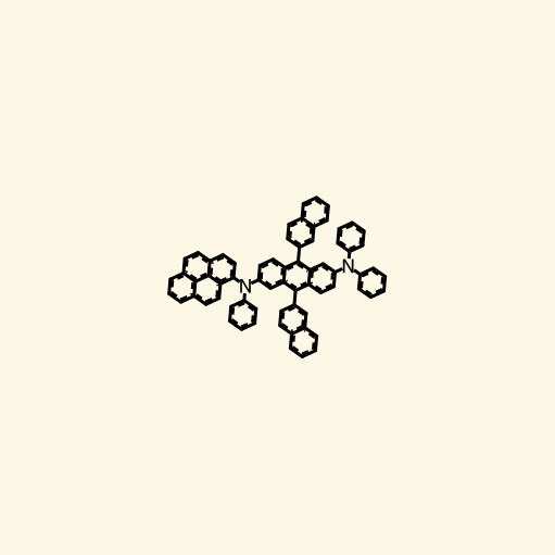 c1ccc(N(c2ccccc2)c2ccc3c(-c4ccc5ccccc5c4)c4cc(N(c5ccccc5)c5ccc6ccc7cccc8ccc5c6c78)ccc4c(-c4ccc5ccccc5c4)c3c2)cc1